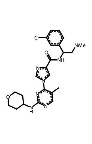 CNCC(NC(=O)c1cn(-c2nc(NC3CCOCC3)ncc2C)cn1)c1cccc(Cl)c1